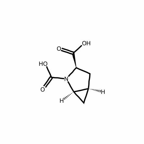 O=C(O)[C@H]1C[C@H]2C[C@H]2N1C(=O)O